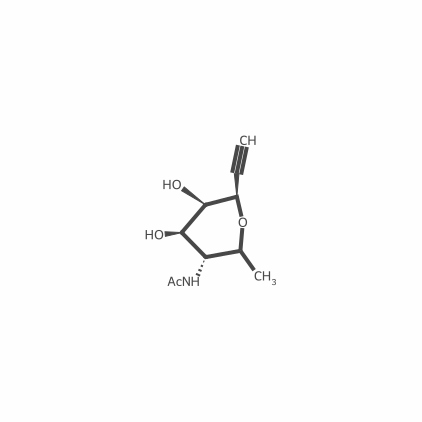 C#C[C@H]1OC(C)[C@H](NC(C)=O)[C@@H](O)[C@H]1O